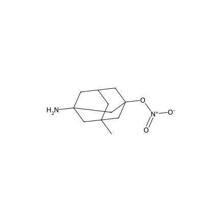 CC12CC3CC(N)(C1)CC(O[N+](=O)[O-])(C3)C2